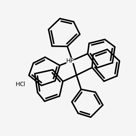 Cl.c1ccc(C(c2ccccc2)(c2ccccc2)[PH](c2ccccc2)(c2ccccc2)c2ccccc2)cc1